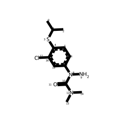 CC(C)Sc1ccc(N(N)C(=O)N(C)C)cc1Cl